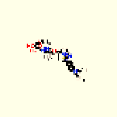 CCCN(CCC)c1ccc2cc(/C=C(\C#N)SNC(C)(C)CCOC(C)(CC)Cc3cn(C[C@H]4O[C@H](OC)C[C@@H](O)[C@@H]4O)nn3)ccc2c1